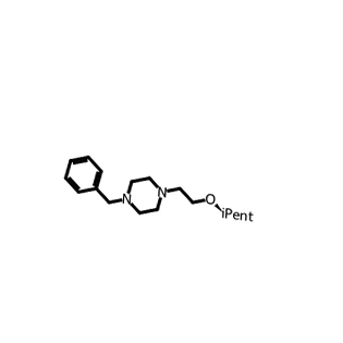 CCC[C@H](C)OCCN1CCN(Cc2ccccc2)CC1